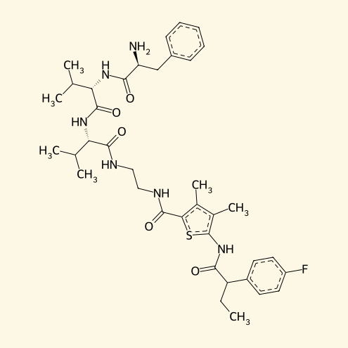 CCC(C(=O)Nc1sc(C(=O)NCCNC(=O)[C@@H](NC(=O)[C@@H](NC(=O)[C@@H](N)Cc2ccccc2)C(C)C)C(C)C)c(C)c1C)c1ccc(F)cc1